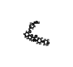 CCCCN1CCN(COc2cccc3c2OC(C(=O)Nc2ccc(N4CCOCC4)cc2)CC3)CC1